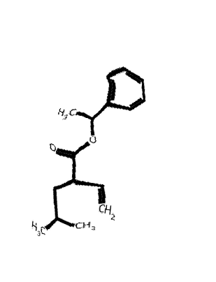 C=CC(CC(C)C)C(=O)OC(C)c1ccccc1